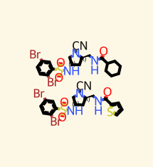 N#CN1C[C@H](NS(=O)(=O)c2cc(Br)ccc2Br)C[C@@H]1CNC(=O)C1CCCCC1.N#CN1C[C@H](NS(=O)(=O)c2cc(Br)ccc2Br)C[C@@H]1CNC(=O)c1cccs1